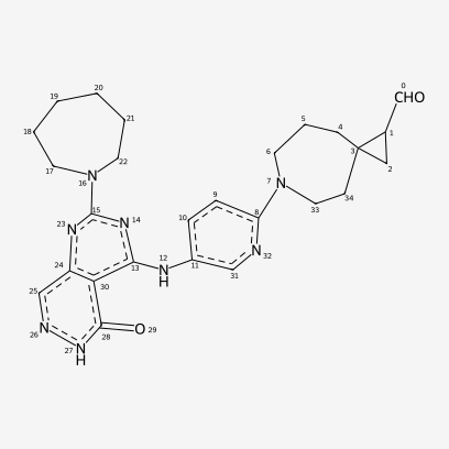 O=CC1CC12CCCN(c1ccc(Nc3nc(N4CCCCCC4)nc4cn[nH]c(=O)c34)cn1)CC2